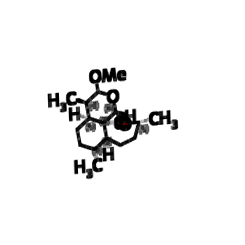 COC1O[C@@H]2O[C@]3(C)CC[C@H]4[C@H](C)CC[C@@H]([C@H]1C)[C@@]24OO3